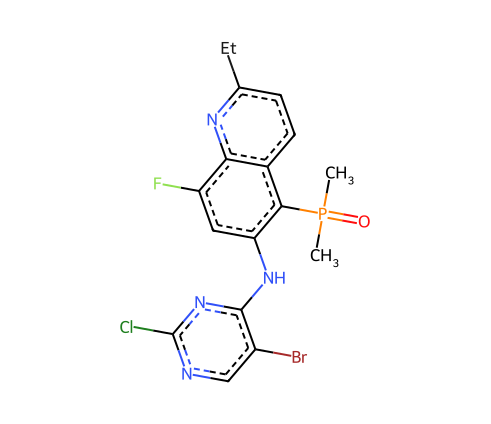 CCc1ccc2c(P(C)(C)=O)c(Nc3nc(Cl)ncc3Br)cc(F)c2n1